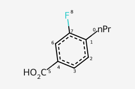 CCCc1ccc(C(=O)O)cc1F